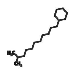 CC(C)CCCCCCCCCC1CCCCC1